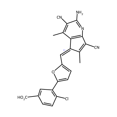 [C-]#[N+]c1c(N)nc2c(c1C)/C(=C/c1ccc(-c3cc(C(=O)O)ccc3Cl)o1)C(C)=C2C#N